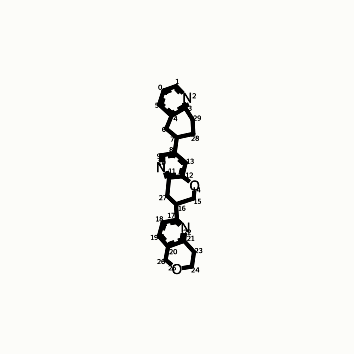 c1cnc2c(c1)CC(c1cnc3c(c1)OCC(c1ccc4c(n1)CCOC4)C3)CC2